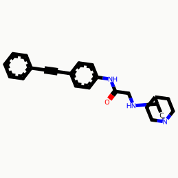 O=C(CNC1CN2CCC1CC2)Nc1ccc(C#Cc2ccccc2)cc1